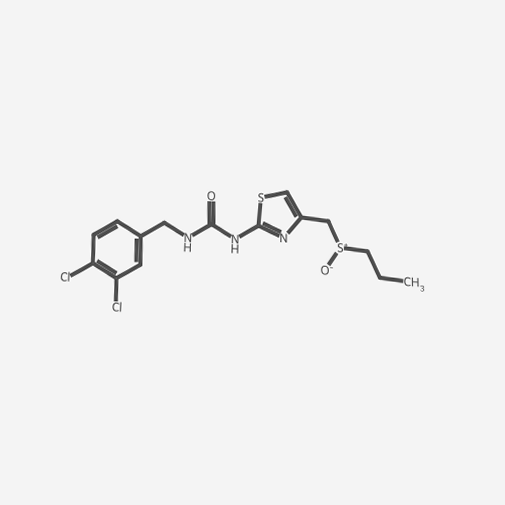 CCC[S+]([O-])Cc1csc(NC(=O)NCc2ccc(Cl)c(Cl)c2)n1